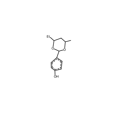 CCC1CC(C)OC(c2ccc(O)cc2)O1